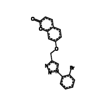 O=c1ccc2ccc(OCc3cn(-c4ccccc4Br)nn3)cc2o1